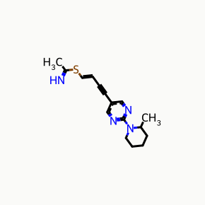 CC(=N)S/C=C/C#Cc1cnc(N2CCCCC2C)nc1